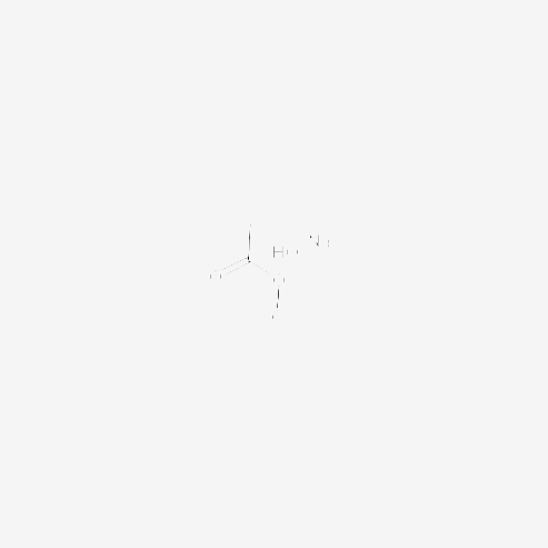 CC(=O)OCl.[Na+].[OH-]